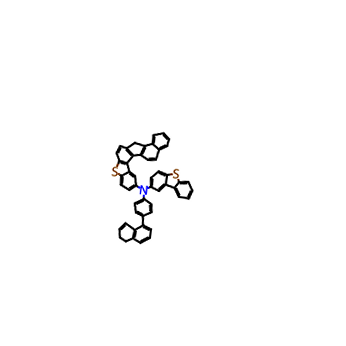 C1=Cc2c(cccc2-c2ccc(N(c3ccc4sc5ccccc5c4c3)c3ccc4sc5ccc6c(c5c4c3)-c3ccc4ccccc4c3C6)cc2)CC1